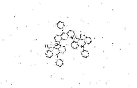 CC1(C)c2ccccc2N(c2ccccc2)c2cccc(-c3cccc4c(-c5ccccc5)c5cccc(-c6cccc7c6C(C)(C)c6ccccc6N7c6ccccc6)c5cc34)c21